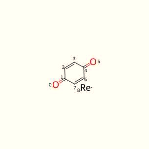 O=C1C=CC(=O)C=C1.[Re]